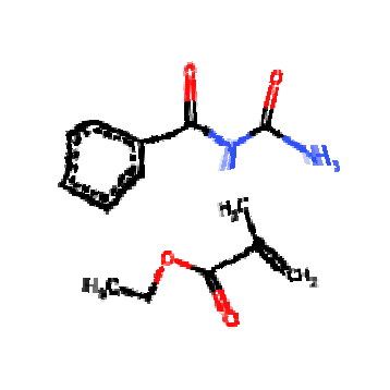 C=C(C)C(=O)OCC.NC(=O)NC(=O)c1ccccc1